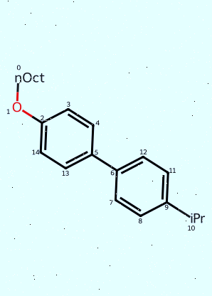 CCCCCCCCOc1ccc(-c2ccc(C(C)C)cc2)cc1